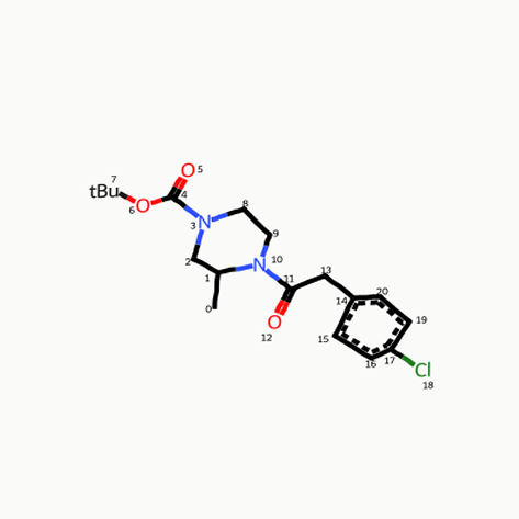 CC1CN(C(=O)OC(C)(C)C)CCN1C(=O)Cc1ccc(Cl)cc1